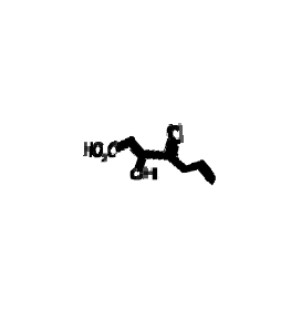 C=CCC(Cl)C(O)CC(=O)O